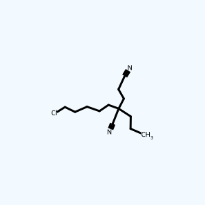 CCCC(C#N)(CCC#N)CCCCCCl